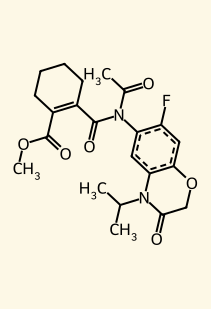 COC(=O)C1=C(C(=O)N(C(C)=O)c2cc3c(cc2F)OCC(=O)N3C(C)C)CCCC1